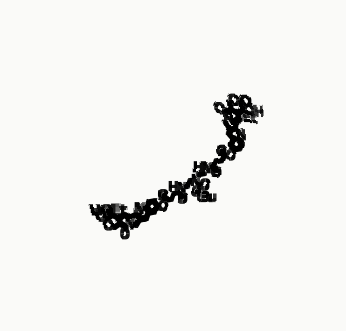 CC[C@@]1(O)C(=O)OCc2c1cc1n(c2=O)Cc2cc3cc(OC(=O)CCC(=O)NCCN(CCNC(=O)CCC(=O)Oc4ccc5nc6c(cc5c4)Cn4c-6cc5c(c4=O)COC(=O)[C@]5(O)CC)C(=O)OC(C)(C)C)ccc3nc2-1